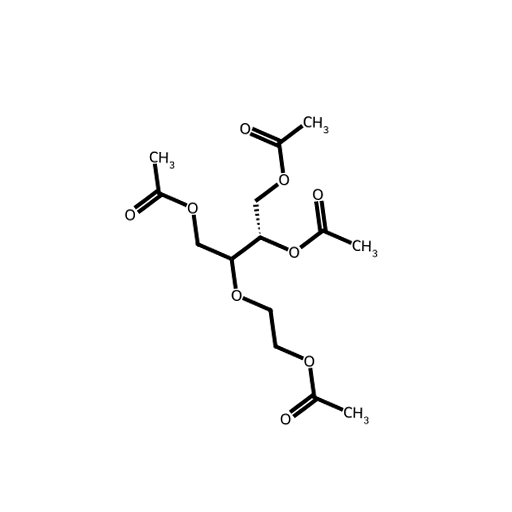 CC(=O)OCCOC(COC(C)=O)[C@H](COC(C)=O)OC(C)=O